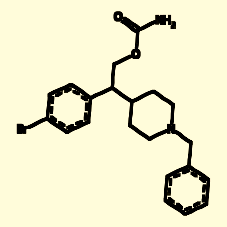 NC(=O)OCC(c1ccc(Br)cc1)C1CCN(Cc2ccccc2)CC1